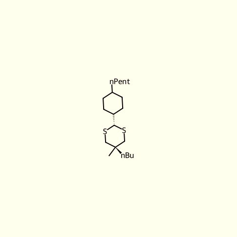 CCCCCC1CCC([C@H]2SC[C@](C)(CCCC)CS2)CC1